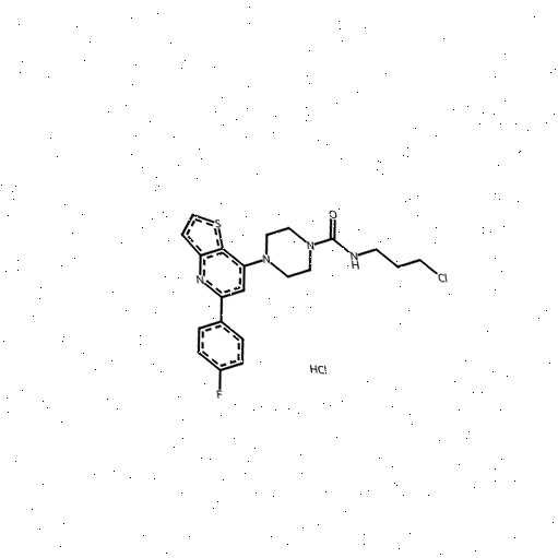 Cl.O=C(NCCCCl)N1CCN(c2cc(-c3ccc(F)cc3)nc3ccsc23)CC1